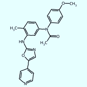 COc1ccc(N(C(C)=O)c2ccc(C)c(Nc3ncc(-c4ccncc4)o3)c2)cc1